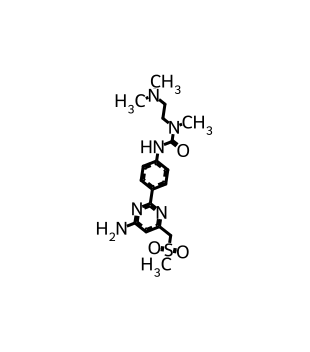 CN(C)CCN(C)C(=O)Nc1ccc(-c2nc(N)cc(CS(C)(=O)=O)n2)cc1